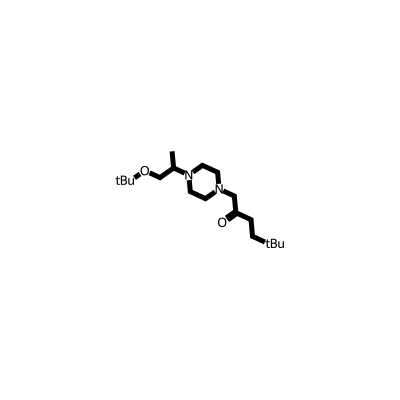 CC(COC(C)(C)C)N1CCN(CC(=O)CCC(C)(C)C)CC1